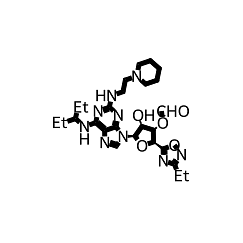 CCc1noc([C@H]2O[C@@H](n3cnc4c(NC(CC)CC)nc(NCCN5CCCCC5)nc43)[C@H](O)[C@@H]2OC=O)n1